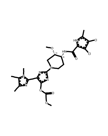 COC(=O)Oc1sc(N2CC[C@@H](NC(=O)c3[nH]c(C)c(Cl)c3Cl)[C@@H](OC)C2)nc1-c1nc(C)c(C)n1C